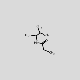 CCC(=S)NC(C)C(C)C